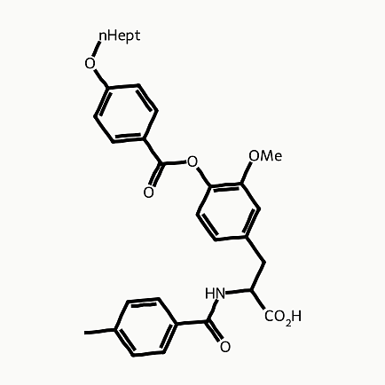 CCCCCCCOc1ccc(C(=O)Oc2ccc(CC(NC(=O)c3ccc(C)cc3)C(=O)O)cc2OC)cc1